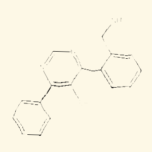 Cc1c(-c2ccccc2)ncnc1-c1ccccc1CN